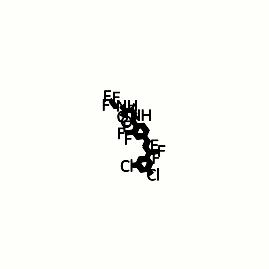 C[C@@H](NC(=O)c1ccc(/C=C/C(c2cc(Cl)cc(Cl)c2)C(F)(F)F)cc1C(F)(F)F)C(=O)NCC(F)(F)F